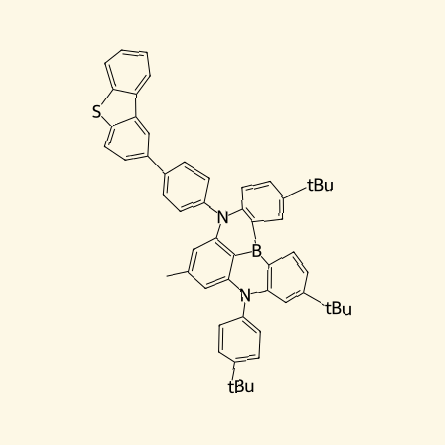 Cc1cc2c3c(c1)N(c1ccc(C(C)(C)C)cc1)c1cc(C(C)(C)C)ccc1B3c1cc(C(C)(C)C)ccc1N2c1ccc(-c2ccc3sc4ccccc4c3c2)cc1